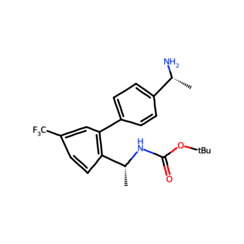 C[C@@H](N)c1ccc(-c2cc(C(F)(F)F)ccc2[C@@H](C)NC(=O)OC(C)(C)C)cc1